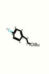 CC(C)COCCc1ccc(F)cc1